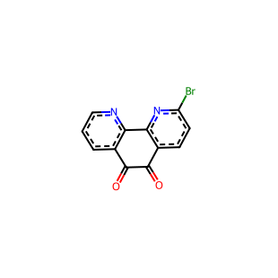 O=C1C(=O)c2ccc(Br)nc2-c2ncccc21